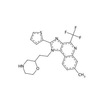 Cc1ccc2c(c1)nc(C(F)(F)F)c1nc(-c3cccs3)n(CCC3CNCCO3)c12